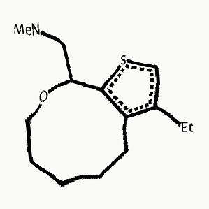 CCc1csc2c1CCCCCOC2CNC